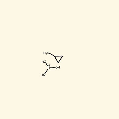 NC1CC1.O[SiH](O)O